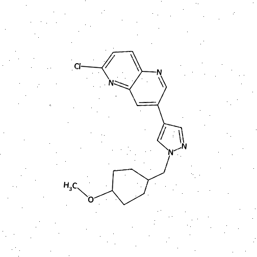 COC1CCC(Cn2cc(-c3cnc4ccc(Cl)nc4c3)cn2)CC1